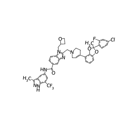 Cc1n[nH]c2c(C(F)(F)F)cc(NC(=O)c3ccc4c(c3)nc(CN3CC=C(c5cccc6c5OC(C)(c5ccc(Cl)cc5F)O6)CC3)n4CC3CCO3)cc12